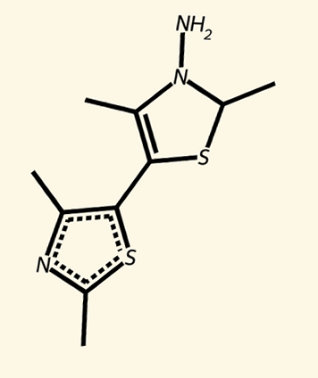 CC1=C(c2sc(C)nc2C)SC(C)N1N